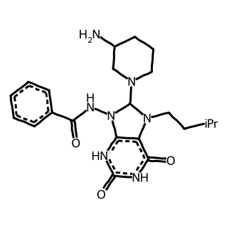 CC(C)CCN1c2c([nH]c(=O)[nH]c2=O)N(NC(=O)c2ccccc2)C1N1CCCC(N)C1